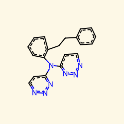 c1ccc(CCc2ccccc2N(c2ccnnn2)c2ccnnn2)cc1